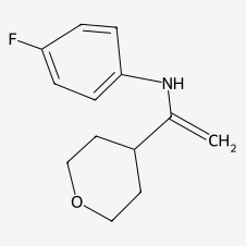 C=C(Nc1ccc(F)cc1)C1CCOCC1